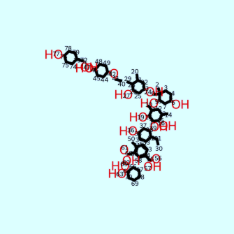 CC1(C)CCC(O)CC1O.CC1CC(C)C(O)CC1O.CC1CC(O)CC(O)C1C.CCC1CCC(O)CC1O.CCOC1CCC(O)CC1.Cc1ccc(C(=O)O)cc1C(=O)O.OC1(O)CCCCC1.OCC1CCC(O)CC1